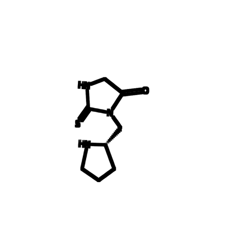 O=C1CNC(=S)N1C[C@@H]1CCCN1